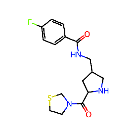 O=C(NCC1CNC(C(=O)N2CCSC2)C1)c1ccc(F)cc1